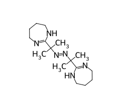 CC(C)(N=NC(C)(C)C1=NCCCCN1)C1=NCCCCN1